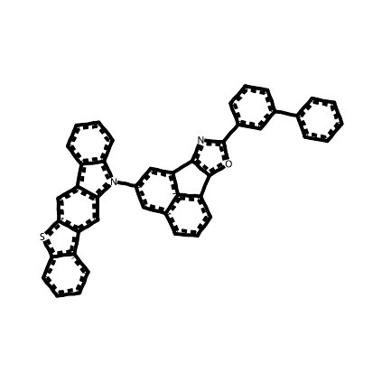 c1ccc(-c2cccc(-c3nc4c(o3)-c3cccc5cc(-n6c7ccccc7c7cc8sc9ccccc9c8cc76)cc-4c35)c2)cc1